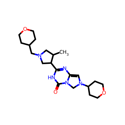 CC1CN(CC2CCOCC2)CC1C1=NC2=CN(C3CCOCC3)CN2C(=O)N1